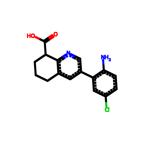 Nc1ccc(Cl)cc1-c1cnc2c(c1)CCCC2C(=O)O